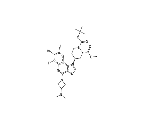 COC(=O)[C@@H]1C[C@@H](n2cnc3c(N4CC(N(C)C)C4)nc4c(F)c(Br)c(Cl)cc4c32)CCN1C(=O)OC(C)(C)C